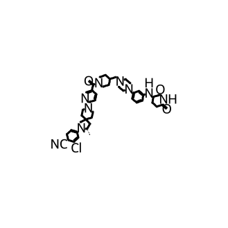 C[C@H]1CC2(CCN(c3ccc(C(=O)N4CCC(CN5CCN(c6cccc(N[C@@H]7CCC(=O)NC7=O)c6)CC5)CC4)cn3)CC2)CN1C1=CCC(C#N)C(Cl)=C1